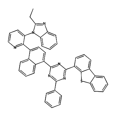 CCc1nc2ccccc2n1-c1cccnc1-c1ccc(-c2nc(-c3ccccc3)nc(-c3cccc4c3sc3ccccc34)n2)c2ccccc12